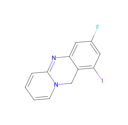 Fc1cc(I)c2c(c1)N=C1C=CC=CN1C2